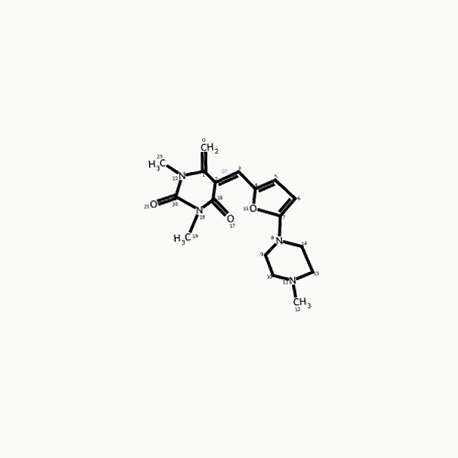 C=c1/c(=C/c2ccc(N3CCN(C)CC3)o2)c(=O)n(C)c(=O)n1C